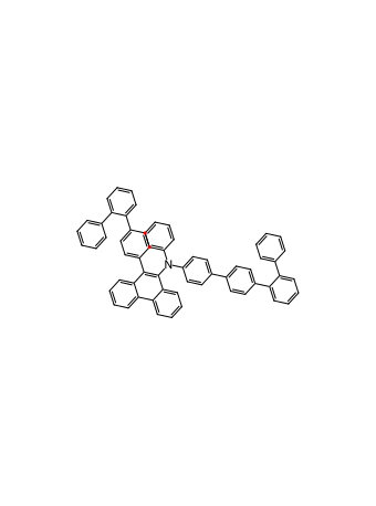 c1ccc(-c2ccccc2-c2ccc(-c3ccc(N(c4ccccc4)c4c(-c5ccc(-c6ccccc6-c6ccccc6)cc5)c5ccccc5c5ccccc45)cc3)cc2)cc1